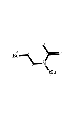 C=C(C)N(CCC(C)(C)C)C(C)(C)C